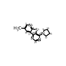 Cc1cnc2sc3c(N4CCCC4)ncnc3c2c1